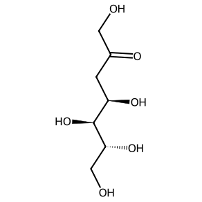 O=C(CO)C[C@@H](O)[C@H](O)[C@H](O)CO